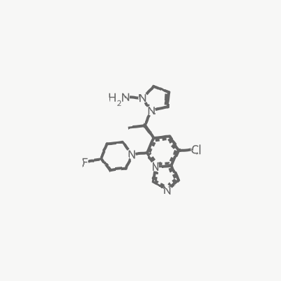 CC(c1cc(Cl)c2cncn2c1N1CCC(F)CC1)N1C=CCN1N